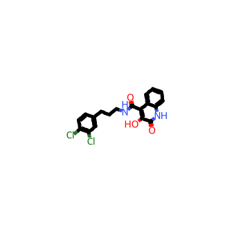 O=C(NCCCc1ccc(Cl)c(Cl)c1)c1c(O)c(=O)[nH]c2ccccc12